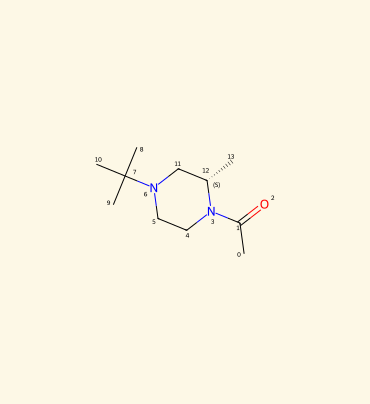 CC(=O)N1CCN(C(C)(C)C)C[C@@H]1C